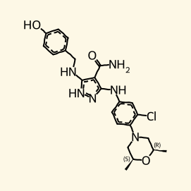 C[C@@H]1CN(c2ccc(Nc3n[nH]c(NCc4ccc(O)cc4)c3C(N)=O)cc2Cl)C[C@H](C)O1